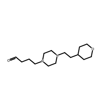 O=CCCCN1CCN(CCC2CCOCC2)CC1